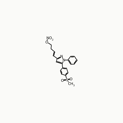 CS(=O)(=O)c1ccc(-c2cc(C=CCCO[N+](=O)[O-])nn2-c2ccccc2)cc1